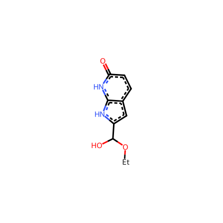 CCOC(O)c1cc2ccc(=O)[nH]c2[nH]1